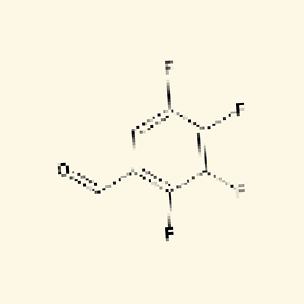 O=[C]c1cc(F)c(F)c(F)c1F